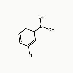 OB(O)C1C=C(Cl)C=CC1